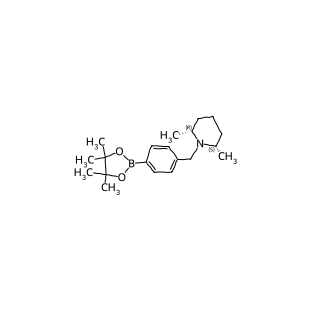 C[C@@H]1CCC[C@H](C)N1Cc1ccc(B2OC(C)(C)C(C)(C)O2)cc1